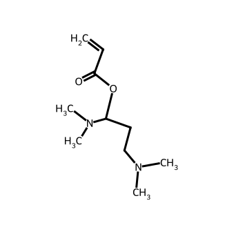 C=CC(=O)OC(CCN(C)C)N(C)C